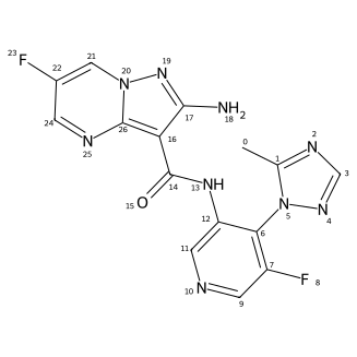 Cc1ncnn1-c1c(F)cncc1NC(=O)c1c(N)nn2cc(F)cnc12